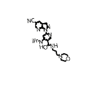 CC(C)Nc1cc(-n2ncc3cc(C#N)cnc32)ncc1C(=O)NCCCN1CCOCC1